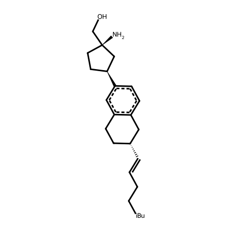 CCC(C)CC/C=C/[C@@H]1CCc2cc([C@H]3CC[C@](N)(CO)C3)ccc2C1